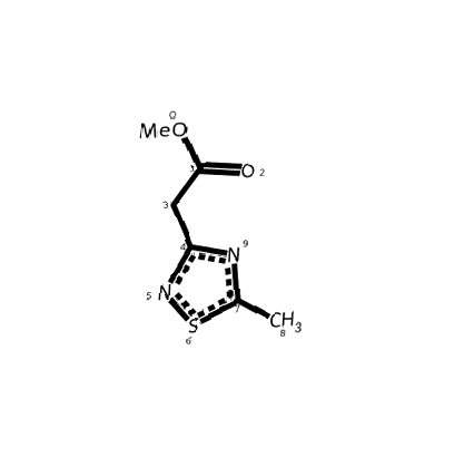 COC(=O)Cc1nsc(C)n1